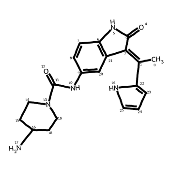 CC(=C1C(=O)Nc2ccc(NC(=O)N3CCC(N)CC3)cc21)c1ccc[nH]1